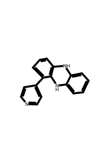 c1ccc2c(c1)Nc1cccc(-c3ccncc3)c1N2